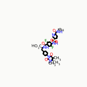 Cc1c(C)n(C)c(=O)n(-c2ccc(C[C@H](NC(=O)c3cc(F)c(NS(=O)(=O)c4ccc(C(=O)NC(C)(C)C)nc4)cc3F)C(=O)O)cc2)c1=O